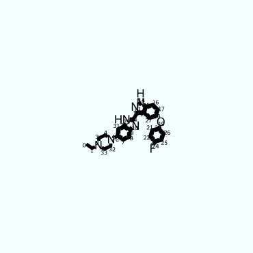 CCN1CCN(c2ccc3nc(-c4n[nH]c5ccc(Oc6ccc(F)cc6)cc45)[nH]c3c2)CC1